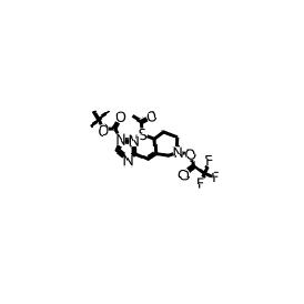 CC(=O)SC1CCN(OC(=O)C(F)(F)F)C/C1=C/c1ncn(C(=O)OC(C)(C)C)n1